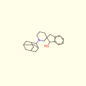 OC1c2ccccc2CC12CCCN(C1C3CC4CC(C3)CC1C4)C2